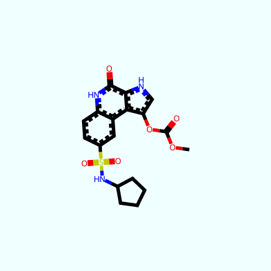 COC(=O)Oc1c[nH]c2c(=O)[nH]c3ccc(S(=O)(=O)NC4CCCC4)cc3c12